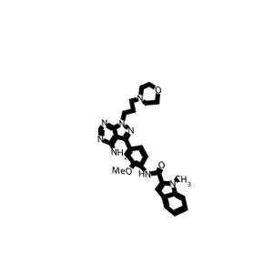 COc1cc(-c2nn(CCCN3CCOCC3)c3ncnc(N)c23)ccc1NC(=O)c1cc2ccccc2n1C